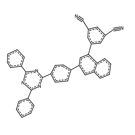 N#Cc1cc(C#N)cc(-c2cc(-c3ccc(-c4nc(-c5ccccc5)nc(-c5ccccc5)n4)cc3)cc3ccccc23)c1